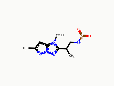 CCOC(=O)n1c(C(C)CN[SH](=O)=O)nn2nc(C)cc12